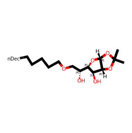 CCCCCCCCCCCCCCCOC[C@@H](O)[C@H]1O[C@@H]2OC(C)(C)O[C@@H]2[C@H]1O